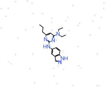 CCCc1cc(N(CC)CC)nc(Nc2ccc3[nH]ncc3c2)n1